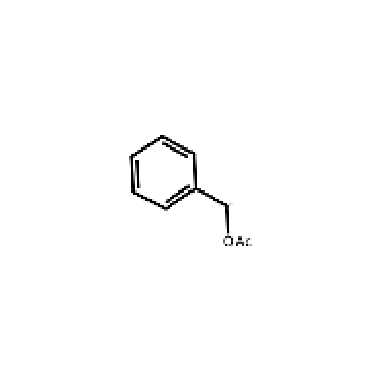 CC(=O)O[C]c1ccccc1